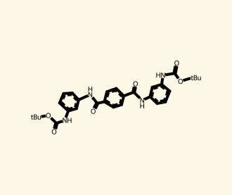 CC(C)(C)OC(=O)Nc1cccc(NC(=O)c2ccc(C(=O)Nc3cccc(NC(=O)OC(C)(C)C)c3)cc2)c1